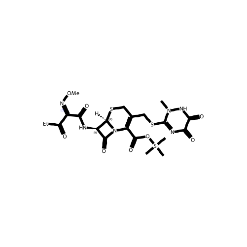 CCC(=O)/C(=N/OC)C(=O)N[C@@H]1C(=O)N2C(C(=O)O[Si](C)(C)C)=C(CSc3nc(=O)c(=O)[nH]n3C)CS[C@H]12